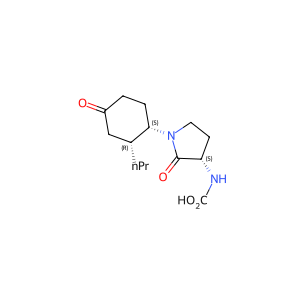 CCC[C@@H]1CC(=O)CC[C@@H]1N1CC[C@H](NC(=O)O)C1=O